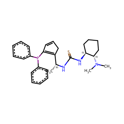 C[C@@H](NC(=S)N[C@H]1CCCC[C@@H]1N(C)C)C1=C(P(c2ccccc2)c2ccccc2)C=CC1